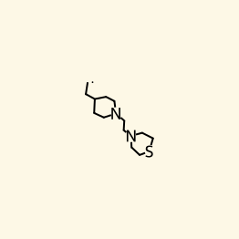 [CH2]CC1CCN(CCN2CCSCC2)CC1